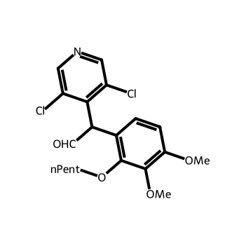 CCCCCOc1c(C(C=O)c2c(Cl)cncc2Cl)ccc(OC)c1OC